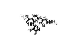 Cc1nsc(Nc2nc(NC(C=O)CCN)cnc2C(N)=O)c1I